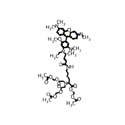 CCN(CCCC(=O)NCCCCC(C(=O)OCOC(C)=O)N(CC(=O)OCOC(C)=O)CC(=O)OCOC(C)=O)c1cc(OC)c(-c2c3cc/c(=N\C)cc-3oc3cc(N(C)C)ccc23)cc1N(C)C